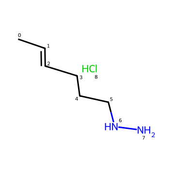 CC=CCCCNN.Cl